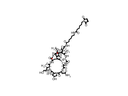 CC[C@H](C)[C@@H]1NC(=O)CNC(=O)[C@@H]2Cc3c([nH]c4c(CSCCNC(=O)CCCCCNC(=O)CCCCCN5C(=O)C=CC5=O)c(OC)ccc34)[S+]([O-])C[C@H](NC(=O)CNC1=O)C(=O)N[C@@H](CC(N)=O)C(=O)N1C[C@H](O)C[C@H]1C(=O)N[C@@H]([C@@H](C)[C@@H](O)CO)C(=O)N2